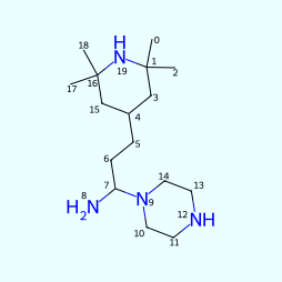 CC1(C)CC(CCC(N)N2CCNCC2)CC(C)(C)N1